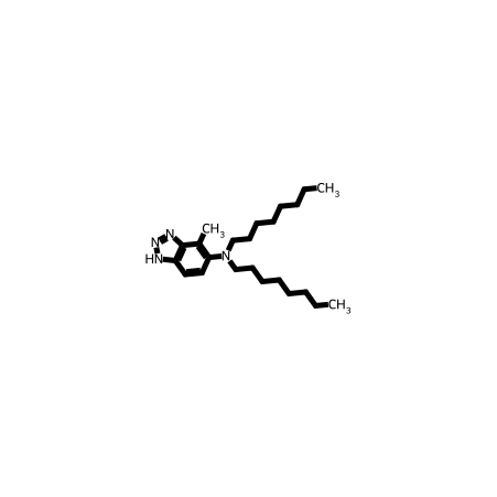 CCCCCCCCN(CCCCCCCC)c1ccc2[nH]nnc2c1C